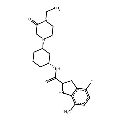 CCN1CCN([C@H]2CCC[C@@H](NC(=O)C3Cc4c(F)ccc(C)c4N3)C2)CC1=O